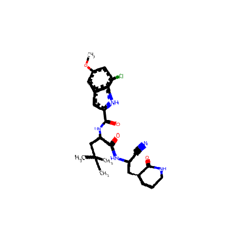 COc1cc(Cl)c2[nH]c(C(=O)NC(CC(C)(C)C)C(=O)NC(C#N)C[C@@H]3CCCNC3=O)cc2c1